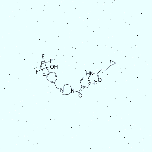 O=C(CCC1CC1)Nc1ccc(C(=O)N2CCN(Cc3ccc(C(O)(C(F)(F)F)C(F)(F)F)cc3)CC2)cc1F